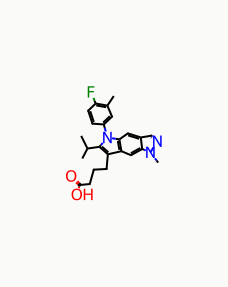 Cc1cc(-n2c(C(C)C)c(CCCC(=O)O)c3cc4c(cnn4C)cc32)ccc1F